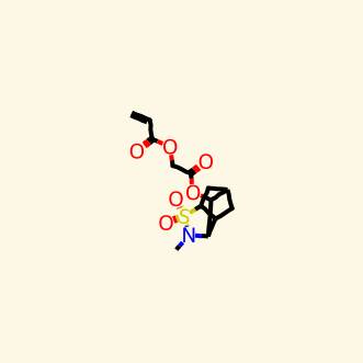 C=CC(=O)OCC(=O)OC1C2CC3C1N(C)S(=O)(=O)C3C2